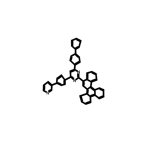 c1ccc(-c2ccc(-c3cc(-c4ccc(-c5cccnc5)cc4)nc(-c4cc5c6ccccc6c6ccccc6c5c5ccccc45)n3)cc2)cc1